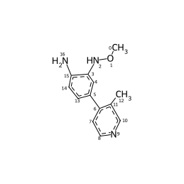 CONc1cc(-c2ccncc2C)ccc1N